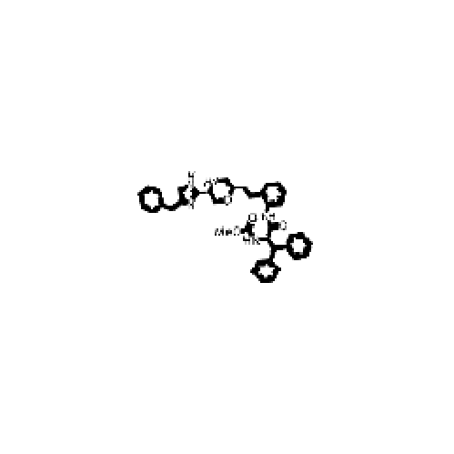 COC(=O)NC(C(=O)Nc1ccccc1CC[C@@H]1CN[C@H](c2nc(Cc3ccccc3)c[nH]2)CO1)C(c1ccccc1)c1ccccc1